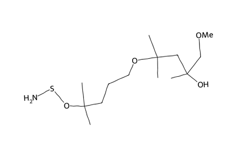 COCC(C)(O)CC(C)(C)OCCCC(C)(C)OSN